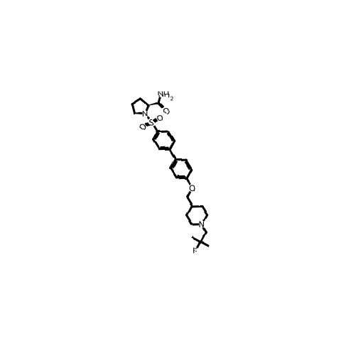 CC(C)(F)CN1CCC(COc2ccc(-c3ccc(S(=O)(=O)N4CCC[C@H]4C(N)=O)cc3)cc2)CC1